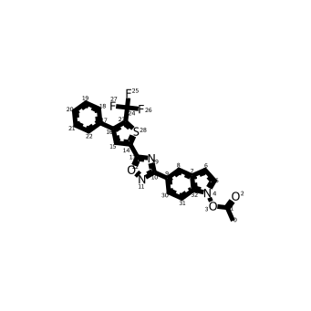 CC(=O)On1ccc2cc(-c3noc(-c4cc(-c5ccccc5)c(C(F)(F)F)s4)n3)ccc21